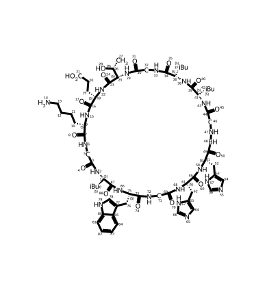 CC[C@H](C)[C@@H]1NC(=O)CNC(=O)[C@H](CCCCN)NC(=O)[C@H](CCC(=O)O)NC(=O)[C@H]([C@@H](C)O)NC(=O)CNC(=O)[C@H]([C@@H](C)CC)NC(=O)[C@H]([C@@H](C)CC)NC(=O)CNBC(=O)[C@H](Cc2cnc[nH]2)NC(=O)[C@H](Cc2cnc[nH]2)NC(=O)CNC(=O)[C@H](Cc2c[nH]c3ccccc23)NC1=O